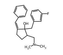 CN(C)CC1CC/C(=C/c2ccccc2)C1(O)Cc1cccc(F)c1